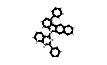 c1ccc(-c2nc(-n3c4cc5ccccc5cc4c4c(-c5ccccc5)cccc43)c3cccnc3n2)cc1